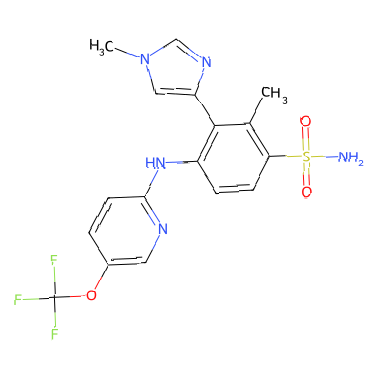 Cc1c(S(N)(=O)=O)ccc(Nc2ccc(OC(F)(F)F)cn2)c1-c1cn(C)cn1